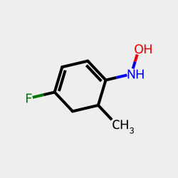 CC1CC(F)=CC=C1NO